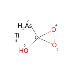 OC1([AsH2])OO1.[Ti]